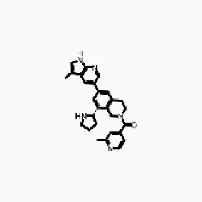 Cc1cc(C(=O)N2CCc3cc(-c4cnc5[nH]cc(C)c5c4)cc([C@@H]4CCCN4)c3C2)ccn1